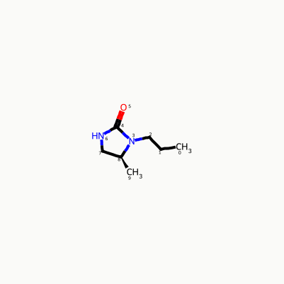 CCCN1C(=O)NC[C@@H]1C